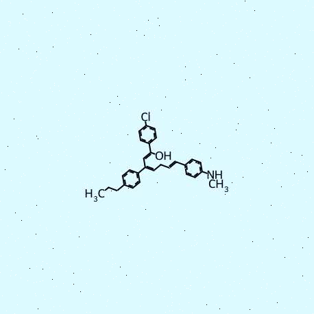 CCCc1ccc(C(/C=C(\O)c2ccc(Cl)cc2)=C/C/C=C/c2ccc(NC)cc2)cc1